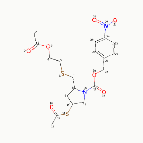 CC(=O)OCCSCC1CC(SC(C)=O)CN1C(=O)OCc1ccc([N+](=O)[O-])cc1